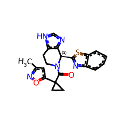 Cc1cc(C2(C(=O)N3CCc4[nH]cnc4[C@H]3c3nc4ccccc4s3)CC2)on1